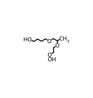 CC(COCCCCO)OCCOO